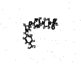 CC(C)c1ccc(CN2CC(Oc3cnc(N4CCN(S(C)(=O)=O)CC4)cn3)C2)cc1